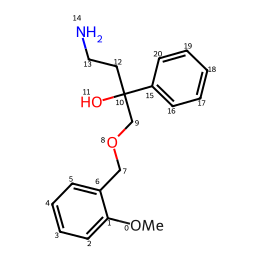 COc1ccccc1COCC(O)(CCN)c1ccccc1